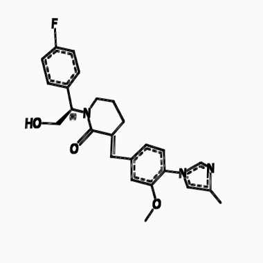 COc1cc(C=C2CCCN([C@@H](CO)c3ccc(F)cc3)C2=O)ccc1-n1cnc(C)c1